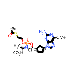 COc1nc(N)nc2c1ncn2[C@H]1C=C[C@@H](COP(=O)(OCCSC(=O)C(C)(C)C)N(C)[C@@H](C)C(=O)O)C1